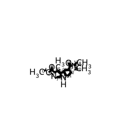 CCOC(=O)c1ncc2[nH]c3ccc(C(=O)N(CC)CC)cc3c2c1C